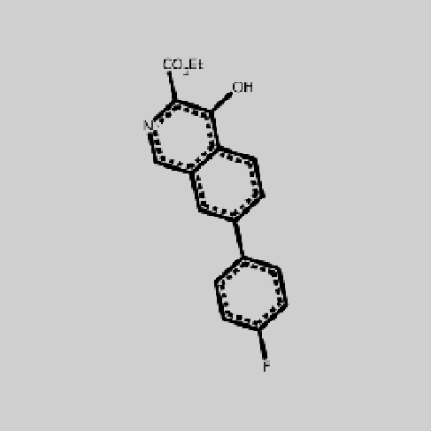 CCOC(=O)c1ncc2cc(-c3ccc(F)cc3)ccc2c1O